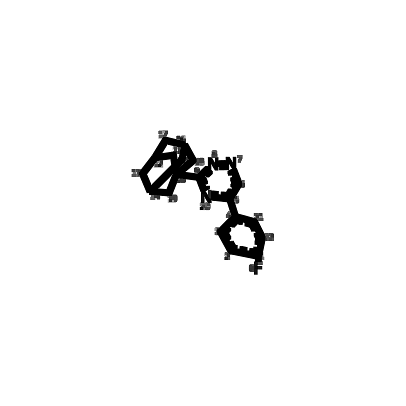 Fc1ccc(-c2cnnc(C34CC5CC(CC(C5)C3)C4)n2)cc1